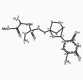 COC(=O)C(C)NP(=O)(OP)OCC12COC(C1)C(n1cc(C)c(=O)[nH]c1=O)O2